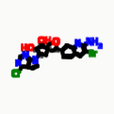 Nc1nc2cc([C@H]3C[C@@]4(CO3)C[C@@H](n3ccc5c(Cl)ncnc53)[C@H](O)[C@@H]4O)ccc2cc1Br